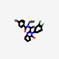 CCCCCCN(C(=O)c1ccc(CC)cc1)C(CC)c1nc2ccccc2c(=O)n1-c1ccc(F)c(Cl)c1